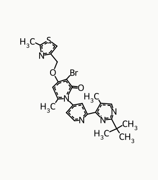 Cc1nc(COc2cc(C)n(-c3ccnc(-c4nc(C(C)(C)C)ncc4C)c3)c(=O)c2Br)cs1